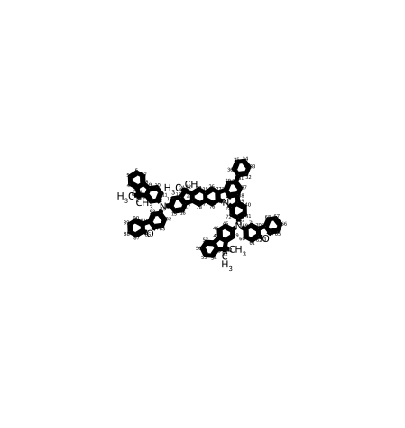 CC1(C)c2ccccc2-c2ccc(N(c3ccc4c(c3)C(C)(C)c3cc5cc6c7cc(-c8ccccc8)cc8c9ccc(N(c%10ccc%11c(c%10)C(C)(C)c%10ccccc%10-%11)c%10ccc%11oc%12ccccc%12c%11c%10)cc9n(c6cc5cc3-4)c87)c3ccc4oc5ccccc5c4c3)cc21